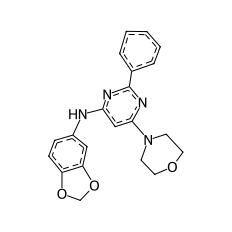 c1ccc(-c2nc(Nc3ccc4c(c3)OCO4)cc(N3CCOCC3)n2)cc1